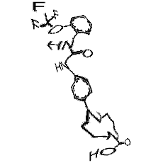 O=C(Nc1ccc(N2CCN(C(=O)O)CC2)cc1)Nc1ccccc1OC(F)(F)F